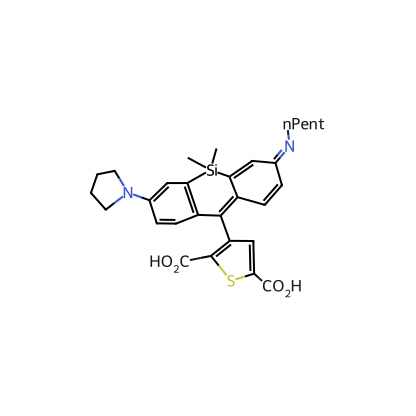 CCCCC/N=C1/C=CC2=C(c3cc(C(=O)O)sc3C(=O)O)c3ccc(N4CCCC4)cc3[Si](C)(C)C2=C1